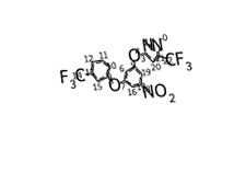 Cn1nc(Oc2cc(Oc3cccc(C(F)(F)F)c3)cc([N+](=O)[O-])c2)cc1C(F)(F)F